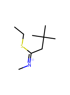 CCS/C(CC(C)(C)C)=N\C